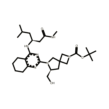 CNC(=O)C[C@H](CC(C)C)Nc1nc(N2CC3(C[C@H]2CO)CN(C(=O)OC(C)(C)C)C3)nc2c1CCCC2